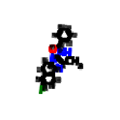 Cc1nc2c(nc1NC(=O)c1ccccc1)CCc1cc(F)ccc1-2